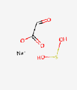 O=CC(=O)[O-].OSO.[Na+]